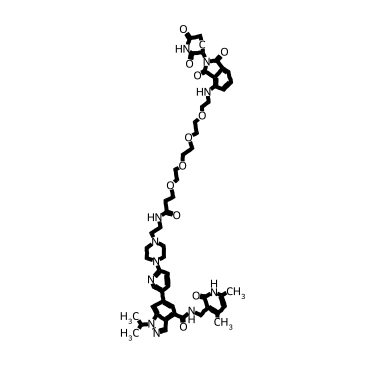 Cc1cc(C)c(CNC(=O)c2cc(-c3ccc(N4CCN(CCNC(=O)CCOCCOCCOCCOCCNc5cccc6c5C(=O)N(C5CCC(=O)NC5=O)C6=O)CC4)nc3)cc3c2cnn3C(C)C)c(=O)[nH]1